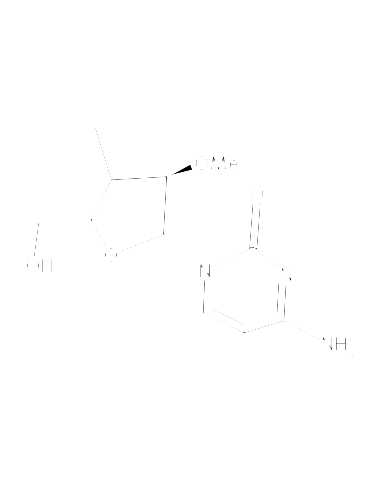 CO[C@@H]1C(C)[C@@H](CO)O[C@H]1n1ccc(N)nc1=O